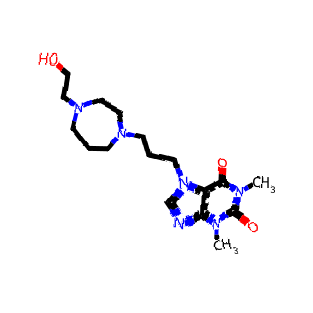 Cn1c(=O)c2c(ncn2CCCN2CCCN(CCO)CC2)n(C)c1=O